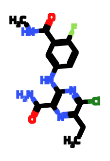 CCc1nc(C(N)=O)c(Nc2ccc(F)c(C(=O)NC)c2)nc1Cl